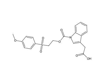 COc1ccc(S(=O)(=O)CCOC(=O)n2cc(CC(=O)O)c3ccccc32)cc1